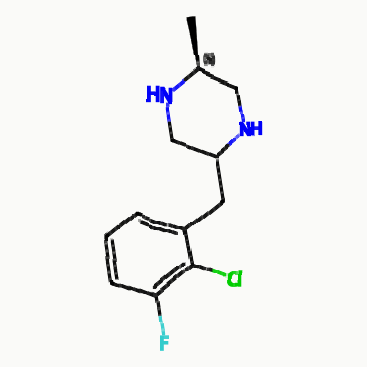 C[C@H]1CNC(Cc2cccc(F)c2Cl)CN1